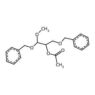 COC(OCc1ccccc1)C(COCc1ccccc1)OC(C)=O